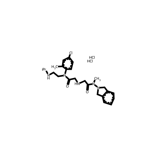 Cc1cc(Cl)ccc1N(CCNC(C)C)C(=O)CNCC(=O)N(C)N1Cc2ccccc2C1.Cl.Cl